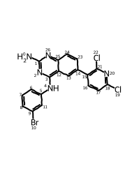 Nc1nc(Nc2cccc(Br)c2)c2cc(-c3ccc(Cl)nc3Cl)ccc2n1